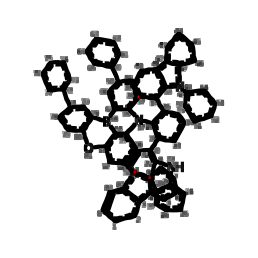 c1ccc2c3ccccc3n(-c3cc4c5c(c3)N(c3c(C6=C7Nc8ccccc8C7CC=C6)cccc3-c3cccc6c7ccccc7n(-c7ccccc7)c36)c3ccc(-c6ccccc6)cc3B5c3cc(-c5ccccc5)ccc3O4)c2c#1